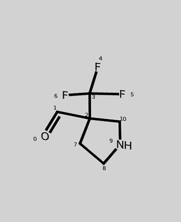 O=CC1(C(F)(F)F)CCNC1